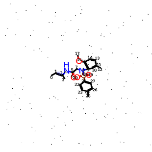 C/C=C(\C)NC(=O)CN(c1cc(C)ccc1OC)S(=O)(=O)c1ccc(C)cc1